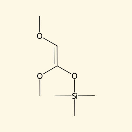 CO/C=C(\OC)O[Si](C)(C)C